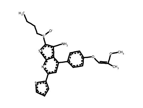 CCCC[S+]([O-])c1sc2nc(-c3cccs3)cc(-c3ccc(O/C=C(/C)OC)cc3)c2c1N